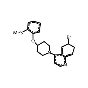 CSc1ccccc1OC1CCN(c2ccnc3c2=CC(Br)CC=3)CC1